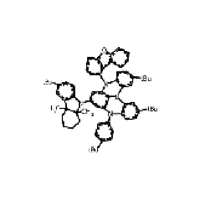 CC(C)(C)c1ccc(N2c3ccc(C(C)(C)C)cc3B3c4cc(C(C)(C)C)ccc4N(c4cccc5oc6ccccc6c45)c4cc(N5c6ccc(C(C)(C)C)cc6C6(C)CCCCC56C)cc2c43)cc1